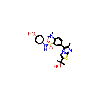 Cc1nc2sc(C(C)(C)O)cn2c1-c1ccc(N(C)C)c(S(=O)(=O)N[C@H]2CC[C@@H](O)CC2)c1